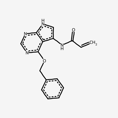 C=CC(=O)Nc1c[nH]c2ncnc(OCc3ccccc3)c12